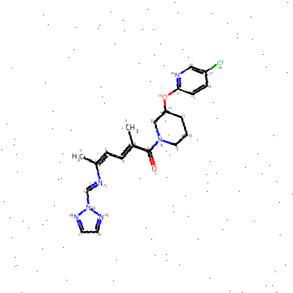 CC(=C/C=C(\C)C(=O)N1CCCC(Oc2ccc(Cl)cn2)C1)/N=C/n1nccn1